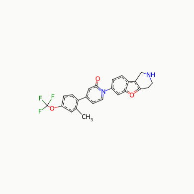 Cc1cc(OC(F)(F)F)ccc1-c1ccn(-c2ccc3c4c(oc3c2)CCNC4)c(=O)c1